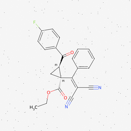 CCOC(=O)[C@]1(C(=C(C#N)C#N)c2ccccc2)C[C@H]1C(=O)c1ccc(F)cc1